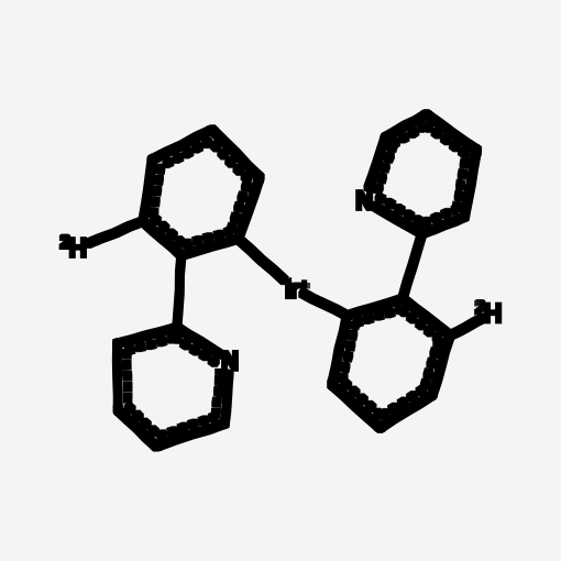 [2H]c1ccc[c]([Ir+][c]2cccc([2H])c2-c2ccccn2)c1-c1ccccn1